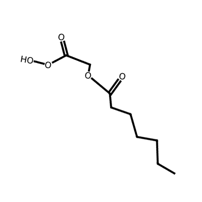 CCCCCCC(=O)OCC(=O)OO